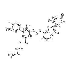 Cc1ccc(NC(=O)[C@H](CCCc2cccc3c2CN(C2CCC(=O)NC2=O)C3=O)NC(=O)CCCCCN)cc1Cl